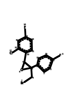 Fc1ccc(C2(CBr)OC2c2ccc(F)cc2Cl)cc1